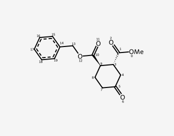 COC(=O)[C@@H]1CC(=O)CC[C@H]1C(=O)OCc1ccccc1